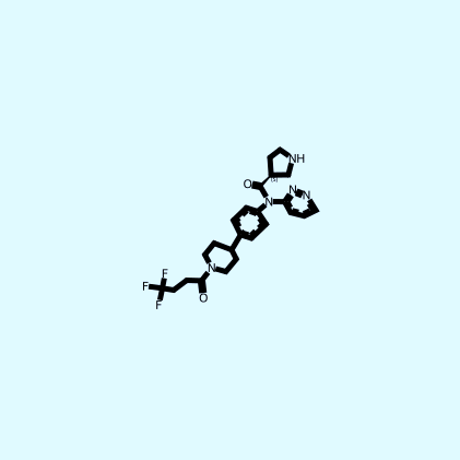 O=C(CCC(F)(F)F)N1CCC(c2ccc(N(C(=O)[C@H]3CCNC3)c3cccnn3)cc2)CC1